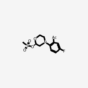 CC(=O)c1cc(F)ccc1N1CCO[C@H](OS(C)(=O)=O)C1